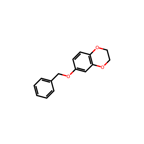 c1ccc(COc2ccc3c(c2)OCCO3)cc1